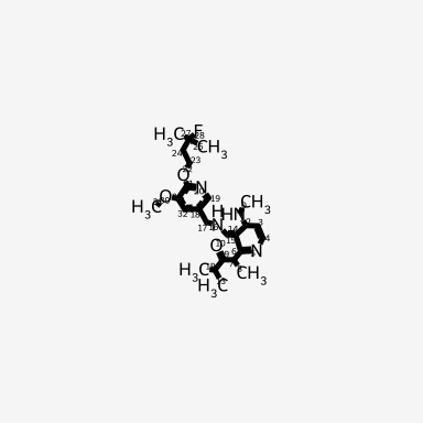 CNC1C=CN=C(C(C)C(=O)C(C)C)/C1=C/NCc1cnc(OCCC(C)(C)F)c(OC)c1